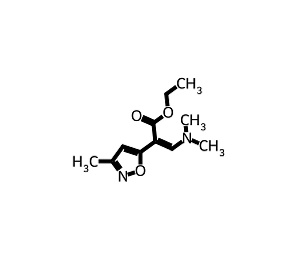 CCOC(=O)/C(=C\N(C)C)c1cc(C)no1